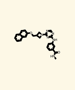 CNC(=O)c1cccc(Nc2ncnc(N3CC(COc4ccc5ccccc5c4)C3)n2)c1